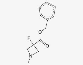 CN1CC(F)(C(=O)OCc2ccccc2)C1